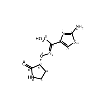 Nc1nc(C(=NO[C@@H]2CCNC2=O)C(=O)O)cs1